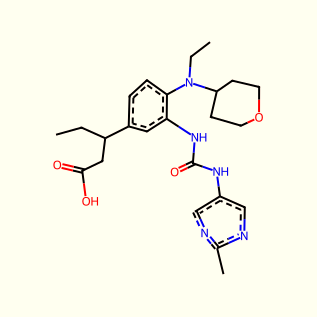 CCC(CC(=O)O)c1ccc(N(CC)C2CCOCC2)c(NC(=O)Nc2cnc(C)nc2)c1